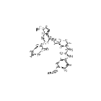 COc1ccc(NC(=O)Nc2cccc(CNc3cc(-c4ccccc4Cl)nc4c(Br)cnn34)c2)cc1